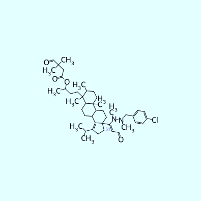 CC(CCC1(C)C(C)CCC2(C)C3CCC4(/C(=C/C=O)N(C)N(C)Cc5ccc(Cl)cc5)CCC(C(C)C)=C4C3CCC12)OC(=O)CC(C)(C)C=O